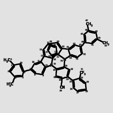 Cc1cc(C)cc(-c2ccc3c(c2)c2ccccc2n3-c2cc(C#N)c(-c3ccccc3C(F)(F)F)cc2-n2c3ccccc3c3cc(-c4cc(C)cc(C)c4)ccc32)c1